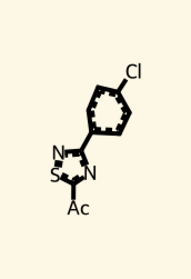 CC(=O)c1nc(-c2ccc(Cl)cc2)ns1